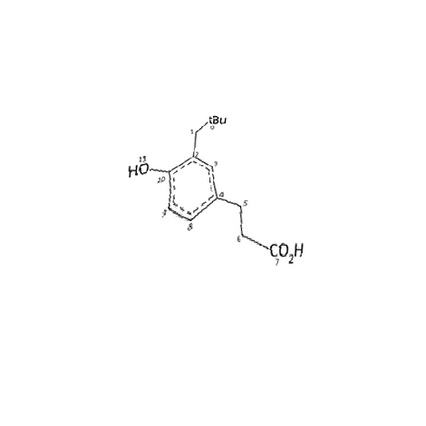 CC(C)(C)Cc1cc(CCC(=O)O)ccc1O